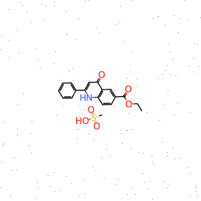 CCOC(=O)c1ccc2[nH]c(-c3ccccc3)cc(=O)c2c1.CS(=O)(=O)O